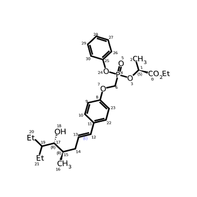 CCOC(=O)[C@H](C)OP(=O)(COc1ccc(/C=C/C[C@@H](C)[C@@H](O)C(CC)CC)cc1)Oc1ccccc1